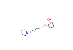 Oc1ccccc1OCCCCCCCN1CCCCC1